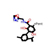 C=C(C)c1ccc(C)cc1-c1c(O)cc(CCCCC)c(C(=O)NCc2nnco2)c1O